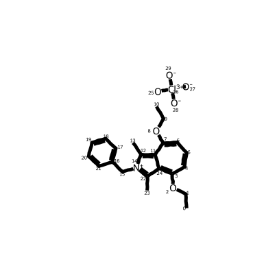 CCOc1cccc(OCC)c2c(C)[n+](Cc3ccccc3)c(C)c1-2.[O-][Cl+3]([O-])([O-])[O-]